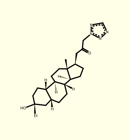 CC[C@@]1(O)CC[C@H]2[C@H](CC[C@@H]3[C@@H]2CC[C@]2(C)[C@@H](CC(=O)Cn4ncnn4)CC[C@@H]32)C1